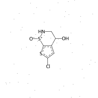 [O-][S+]1NCC(O)c2cc(Cl)sc21